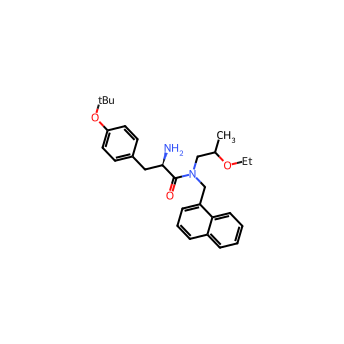 CCOC(C)CN(Cc1cccc2ccccc12)C(=O)[C@H](N)Cc1ccc(OC(C)(C)C)cc1